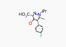 Cc1c(-c2ccc(F)cc2)c(=O)c(C(=O)O)nn1C(C)C